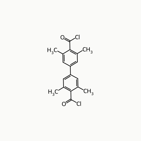 Cc1cc(-c2cc(C)c(C(=O)Cl)c(C)c2)cc(C)c1C(=O)Cl